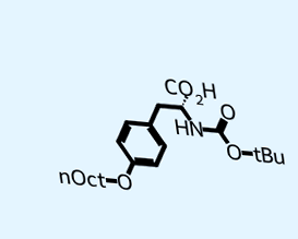 CCCCCCCCOc1ccc(C[C@@H](NC(=O)OC(C)(C)C)C(=O)O)cc1